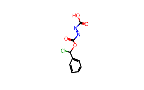 O=C(O)N=NC(=O)OC(Cl)c1ccccc1